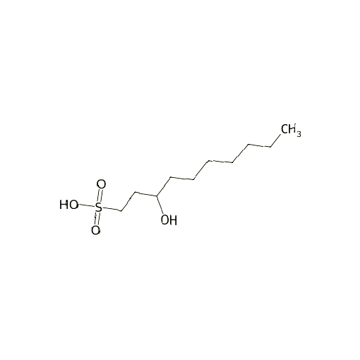 CCCCCCCC(O)CCS(=O)(=O)O